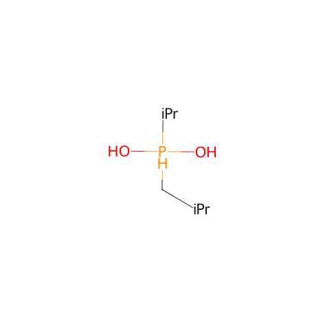 CC(C)C[PH](O)(O)C(C)C